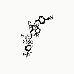 C[C@]1(CNS(=O)(=O)c2ccc(C(F)(F)F)cn2)C=C2C(=O)N(Cc3ccc(C#N)cc3)[C@@H]3CC[C@H](C1)[C@]23O